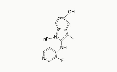 CCCn1c(Nc2ccncc2F)c(C)c2cc(O)ccc21